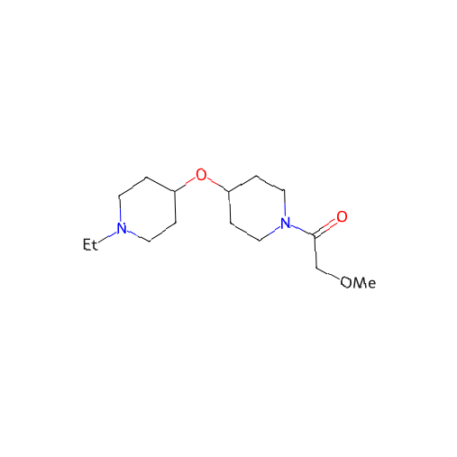 CCN1CCC(OC2CCN(C(=O)COC)CC2)CC1